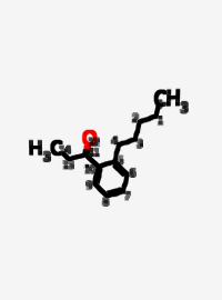 CCCCCc1ccccc1C(=O)CC